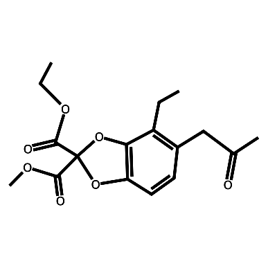 CCOC(=O)C1(C(=O)OC)Oc2ccc(CC(C)=O)c(CC)c2O1